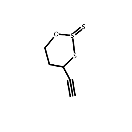 C#CC1CCOS(=S)S1